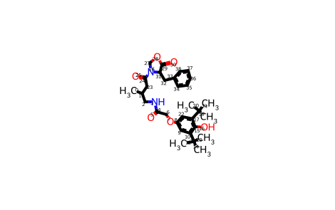 CC(CNC(=O)COc1cc(C(C)(C)C)c(O)c(C(C)(C)C)c1)CC(=O)N1COC(=O)C1Cc1ccccc1